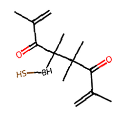 C=C(C)C(=O)C(C)(C)C(C)(BS)C(=O)C(=C)C